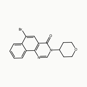 O=c1c2cc(Br)c3ccccc3c2ncn1C1CCOCC1